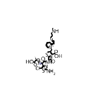 CNCCCn1ccc2c1ccc[n+]2CC1=C(C(=O)O)N2C(=O)C(NC(=O)/C(=N\O[C@@H](C)C(=O)O)c3nc(N)sc3Cl)C2SC1